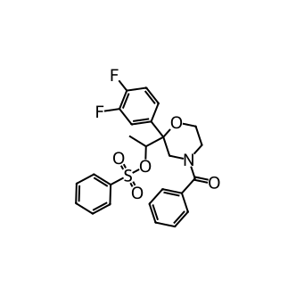 CC(OS(=O)(=O)c1ccccc1)C1(c2ccc(F)c(F)c2)CN(C(=O)c2ccccc2)CCO1